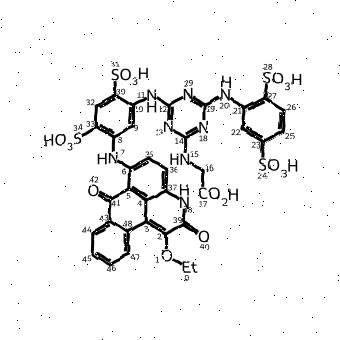 CCOc1c2c3c(c(Nc4cc(Nc5nc(NCC(=O)O)nc(Nc6cc(S(=O)(=O)O)ccc6S(=O)(=O)O)n5)c(S(=O)(=O)O)cc4S(=O)(=O)O)ccc3[nH]c1=O)C(=O)c1ccccc1-2